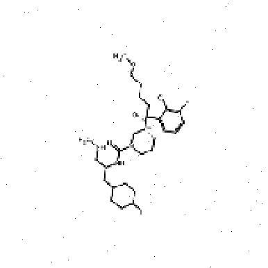 CNCC(CC1CCC(F)CC1)NC(=O)N1CCC[C@@H]([C@@](O)(CCCCOC)c2cccc(F)c2Cl)C1